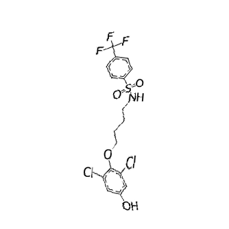 O=S(=O)(NCCCCOc1c(Cl)cc(O)cc1Cl)c1ccc(C(F)(F)F)cc1